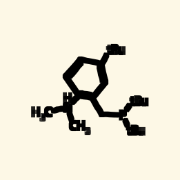 C[SiH](C)c1ccc(C(C)(C)C)cc1CP(C(C)(C)C)C(C)(C)C